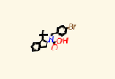 CC(C)(C)C1c2ccccc2CC1N(Cc1ccc(Br)cc1)C(=O)O